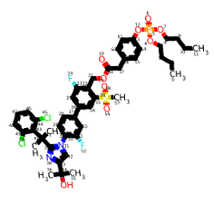 CCCCOP(=O)(OCCCC)Oc1ccc(CC(=O)OCc2c(F)cc(-c3ccc(-n4cc(C(C)(C)O)nc4C(C)(C)c4c(Cl)cccc4Cl)c(F)c3)cc2S(C)(=O)=O)cc1